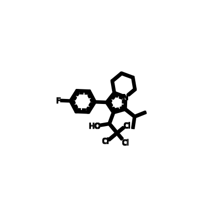 CC(C)c1c(C(O)C(Cl)(Cl)Cl)c(-c2ccc(F)cc2)c2n1CCCC2